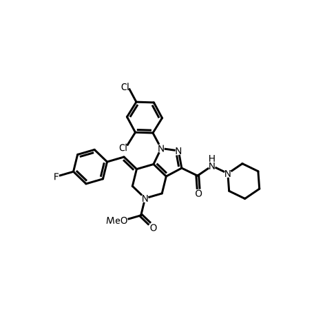 COC(=O)N1CC(=Cc2ccc(F)cc2)c2c(c(C(=O)NN3CCCCC3)nn2-c2ccc(Cl)cc2Cl)C1